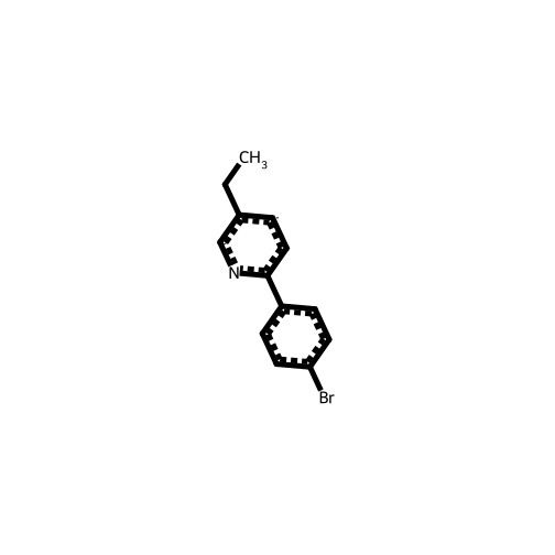 CCc1[c]cc(-c2ccc(Br)cc2)nc1